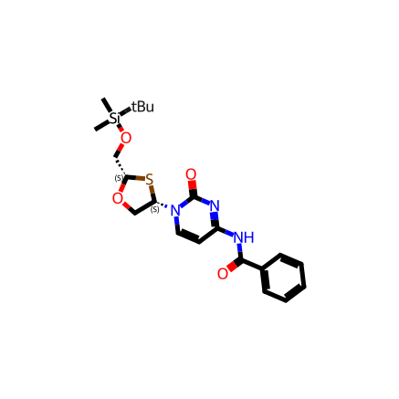 CC(C)(C)[Si](C)(C)OC[C@H]1OC[C@@H](n2ccc(NC(=O)c3ccccc3)nc2=O)S1